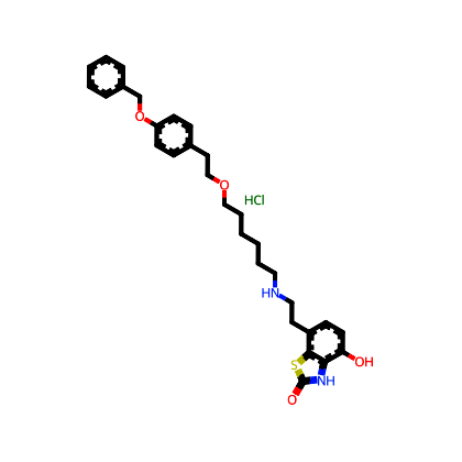 Cl.O=c1[nH]c2c(O)ccc(CCNCCCCCCOCCc3ccc(OCc4ccccc4)cc3)c2s1